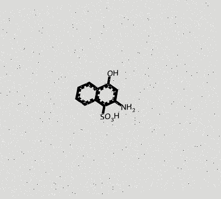 Nc1cc(O)c2ccccc2c1S(=O)(=O)O